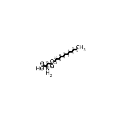 CCCCCCCCCCCCOC(=O)C[C@H](N)C(=O)O